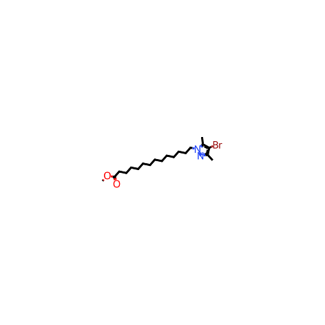 COC(=O)CCCCCCCCCCCCCn1nc(C)c(Br)c1C